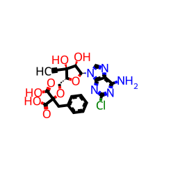 C#C[C@@]1(O)[C@@H](COC(Cc2ccccc2)(C(=O)O)C(=O)O)O[C@@H](n2cnc3c(N)nc(Cl)nc32)[C@@H]1O